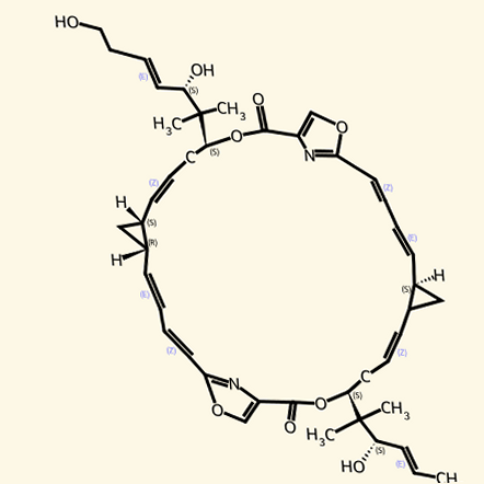 C/C=C/[C@H](O)C(C)(C)[C@@H]1C/C=C\C2C[C@@H]2/C=C/C=C\c2nc(co2)C(=O)O[C@H](C(C)(C)[C@@H](O)/C=C/CCO)C/C=C\[C@H]2C[C@H]2/C=C/C=C\c2nc(co2)C(=O)O1